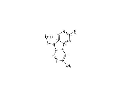 CCOC(=O)Cn1c2ccc(C)cc2c2cc(Br)ccc21